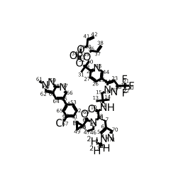 [2H]C([2H])([2H])n1cc(C[C@H](C(=O)NC(C)(C)Cn2nc(C(F)(F)F)cc2-c2ccc(C(C)(C)OP(=O)(OCC=C)OCC=C)nc2)N2CC[C@@]3(C[C@@H]3c3ccc(-c4cnc5nn(C)cc5c4)cc3Cl)C2=O)cn1